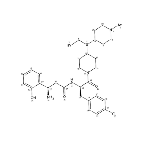 CC(=O)N1CCC(N(CC(C)C)C2CCN(C(=O)[C@@H](Cc3ccc(Cl)cc3)NC(=O)C[C@@H](N)c3ccccc3O)CC2)CC1